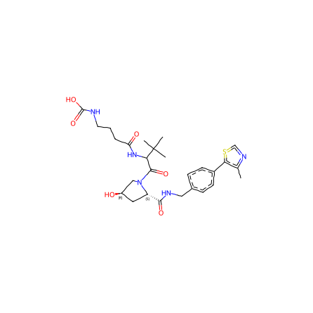 Cc1ncsc1-c1ccc(CNC(=O)[C@@H]2C[C@@H](O)CN2C(=O)C(NC(=O)CCCNC(=O)O)C(C)(C)C)cc1